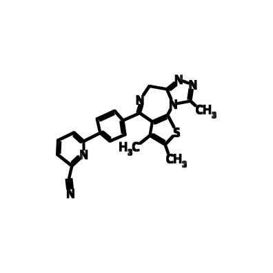 Cc1sc2c(c1C)C(c1ccc(-c3cccc(C#N)n3)cc1)=NCc1nnc(C)n1-2